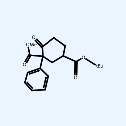 COC(=O)C1(c2ccccc2)CC(C(=O)OC(C)(C)C)CCC1=O